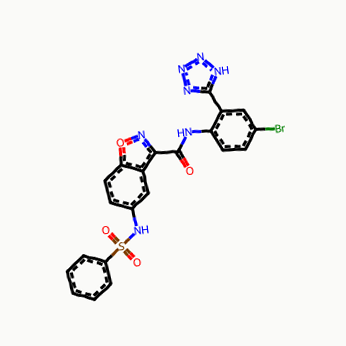 O=C(Nc1ccc(Br)cc1-c1nnn[nH]1)c1noc2ccc(NS(=O)(=O)c3ccccc3)cc12